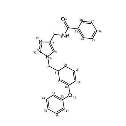 O=C(NCc1cn(CC2C=C(Oc3ccccc3)C=CC2)nn1)c1ccccc1